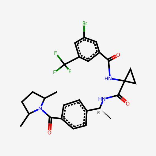 CC1CCC(C)N1C(=O)c1ccc([C@@H](C)NC(=O)C2(NC(=O)c3cc(Br)cc(C(F)(F)F)c3)CC2)cc1